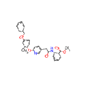 COC(=O)c1ccccc1NC(=O)Cc1ccc(Oc2ccc(OCc3ccccc3)cc2C)nc1